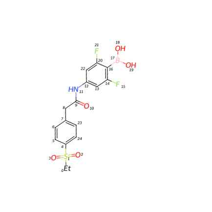 CCS(=O)(=O)c1ccc(CC(=O)Nc2cc(F)c(B(O)O)c(F)c2)cc1